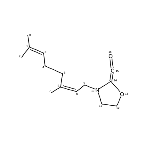 CC(C)=CCCC(C)=CCN1CCOC1=C=O